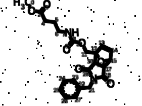 COC(=O)CCCNC(=O)OCC12C=CC(O1)C1C(=O)N(Cc3ccccc3)C(=O)C12